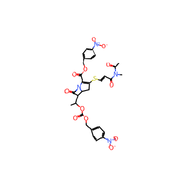 CC(=O)N(C)C(=O)/C=C/SC1=C(C(=O)OCc2ccc([N+](=O)[O-])cc2)N2C(=O)C(C(C)OC(=O)OCc3ccc([N+](=O)[O-])cc3)C2C1